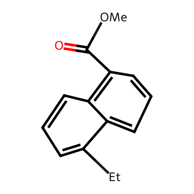 CCc1cccc2c(C(=O)OC)cccc12